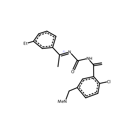 C=C(NC(=O)/N=C(\C)c1cccc(CC)c1)c1cc(CNC)ccc1Cl